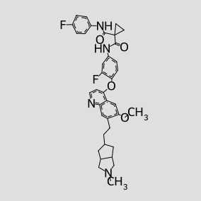 COc1cc2c(Oc3ccc(NC(=O)C4(C(=O)Nc5ccc(F)cc5)CC4)cc3F)ccnc2cc1CCC1CC2CN(C)CC2C1